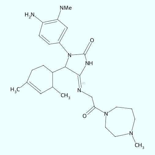 CNc1cc(N2C(=O)N/C(=N\CC(=O)N3CCCN(C)CC3)C2C2CCC(C)=CC2C)ccc1N